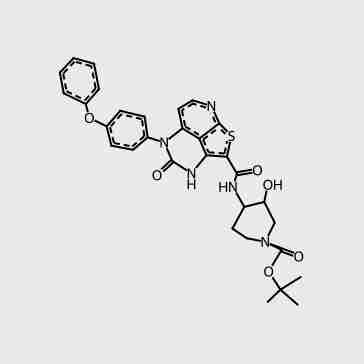 CC(C)(C)OC(=O)N1CCC(NC(=O)c2sc3nccc4c3c2NC(=O)N4c2ccc(Oc3ccccc3)cc2)C(O)C1